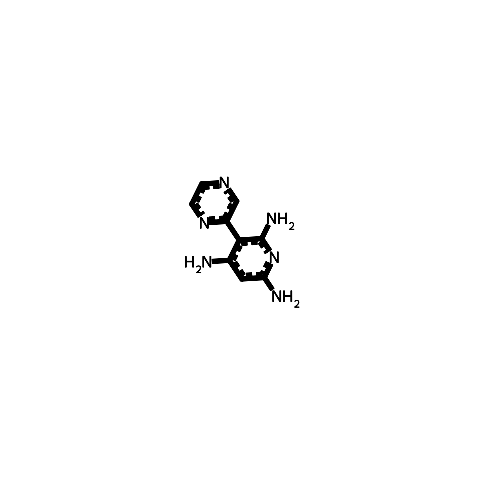 Nc1cc(N)c(-c2cnccn2)c(N)n1